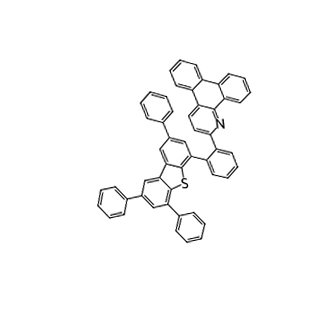 c1ccc(-c2cc(-c3ccccc3)c3sc4c(-c5ccccc5-c5ccc6c7ccccc7c7ccccc7c6n5)cc(-c5ccccc5)cc4c3c2)cc1